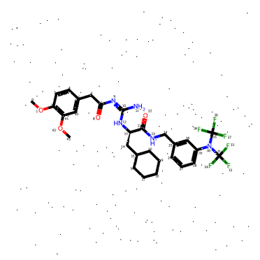 COc1ccc(CC(=O)N=C(N)N[C@H](CC2CCCCC2)C(=O)NCc2cccc(N(C(F)(F)F)C(F)(F)F)c2)cc1OC